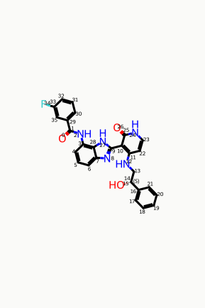 O=C(Nc1cccc2nc(-c3c(NC[C@@H](O)c4ccccc4)cc[nH]c3=O)[nH]c12)c1cccc(F)c1